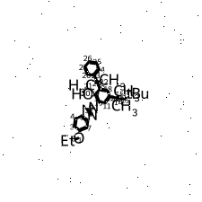 CCOc1ccc2c(c1)n1n(-c3cc(C(C)(C)CC(C)(C)C)cc(C(C)(C)c4ccccc4)c3O)n21